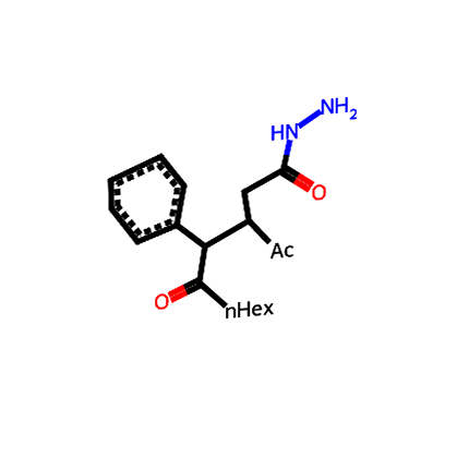 CCCCCCC(=O)C(c1ccccc1)C(CC(=O)NN)C(C)=O